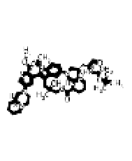 CCn1c(-c2cc(N3CCN4CCCC[C@@H]4C3)cnc2[C@H](C)OC)c(CC(C)(C)COC(=O)C2CCCNN2)c2cc(N3CCO[C@@H](C[C@@H](C=O)NC(=O)OC(C)(C)C)C3)ccc21